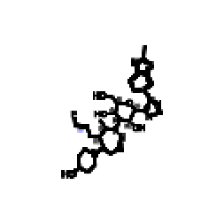 Cc1nc2ccc(-n3ncnc3[C@@H]3O[C@H](CO)[C@H](O)[C@H](N4N=NCC(N5CCC(O)CC5)[C@@H](C/C=C/F)[C@H]4C)[C@H]3O)cc2s1